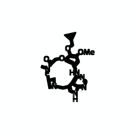 COc1cc2cc(c1OCC1CC1)OCC(=O)N(C)CC1CN(Cc3c[nH]c4ncnc(c34)N2)C1